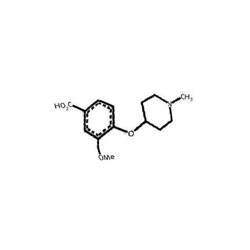 COc1cc(C(=O)O)ccc1OC1CCN(C)CC1